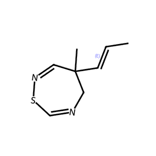 C/C=C/C1(C)C=NSC=NC1